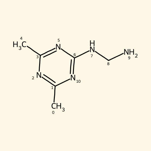 Cc1nc(C)nc(NCN)n1